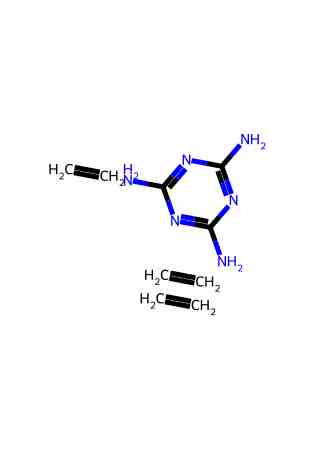 C=C.C=C.C=C.Nc1nc(N)nc(N)n1